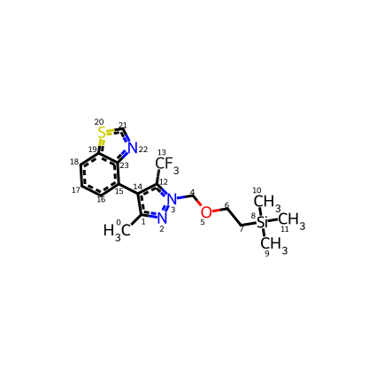 Cc1nn(COCC[Si](C)(C)C)c(C(F)(F)F)c1-c1cccc2scnc12